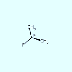 [CH2][C@H](C)F